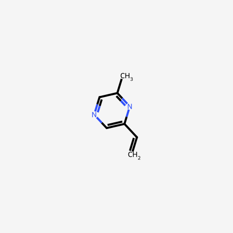 C=Cc1cncc(C)n1